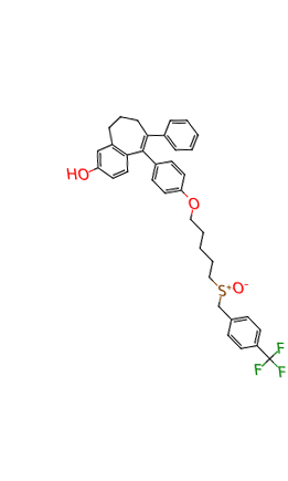 [O-][S+](CCCCCOc1ccc(C2=C(c3ccccc3)CCCc3cc(O)ccc32)cc1)Cc1ccc(C(F)(F)F)cc1